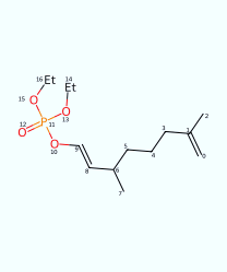 C=C(C)CCCC(C)/C=C/OP(=O)(OCC)OCC